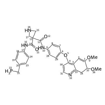 COC1=Cc2c(Oc3ccc(NC(=O)C4(C(=O)Nc5ccc(CP)cc5)CNC4)cc3)ccnc2CC1OC